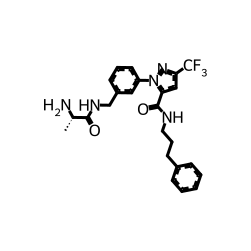 C[C@H](N)C(=O)NCc1cccc(-n2nc(C(F)(F)F)cc2C(=O)NCCCc2ccccc2)c1